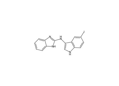 Ic1ccc2[nH]cc(Nc3nc4ccccc4[nH]3)c2c1